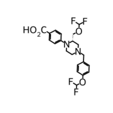 O=C(O)c1ccc(N2CCN(Cc3ccc(OC(F)F)cc3)C[C@H]2COC(F)F)cc1